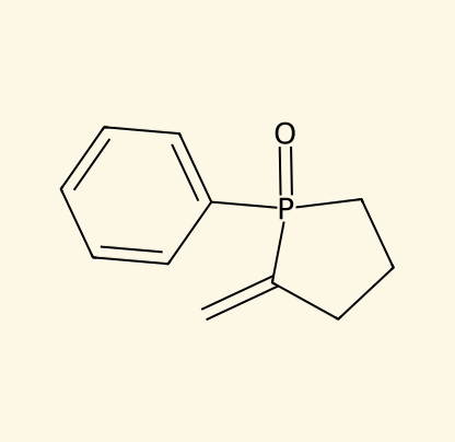 C=C1CCCP1(=O)c1ccccc1